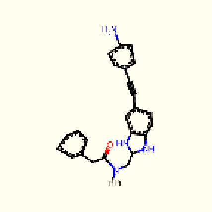 CCCN(CC1Nc2ccc(C#Cc3ccc(N)cc3)cc2N1)C(=O)Cc1ccccc1